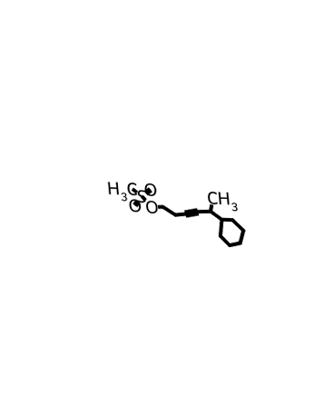 CC(C#CCCOS(C)(=O)=O)C1CCCCC1